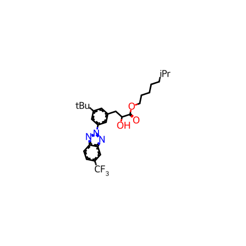 CC(C)CCCCCOC(=O)C(O)Cc1cc(-n2nc3ccc(C(F)(F)F)cc3n2)cc(C(C)(C)C)c1